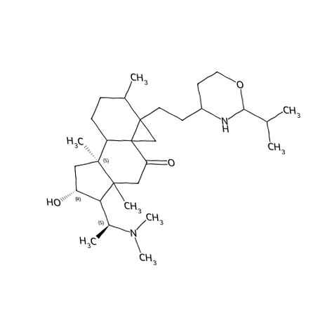 CC(C)C1NC(CCC23CC24C(=O)CC2(C)C([C@H](C)N(C)C)[C@H](O)C[C@@]2(C)C4CCC3C)CCO1